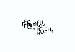 Cc1c(F)ccc(NC(=O)c2cc(S(=O)(=O)N(C)[C@H](C)C(F)(F)F)cn2C)c1F